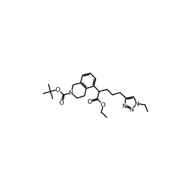 CCOC(=O)C(CCCc1cn(CC)nn1)c1cccc2c1CCN(C(=O)OC(C)(C)C)C2